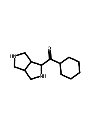 O=C(C1CCCCC1)C1NCC2CNCC21